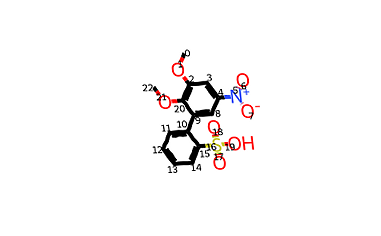 COc1cc([N+](=O)[O-])cc(-c2ccccc2S(=O)(=O)O)c1OC